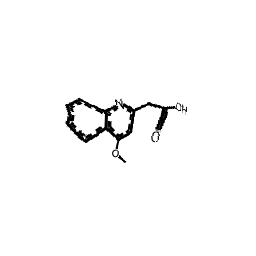 COc1cc(CC(=O)O)nc2ccccc12